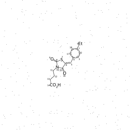 CCc1ccc(/C=C2\SC(=O)N(CCCC(=O)O)C2=O)cc1